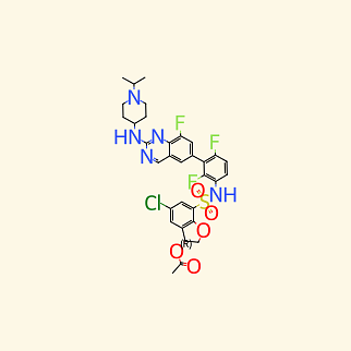 CC(=O)O[C@H]1COc2c1cc(Cl)cc2S(=O)(=O)Nc1ccc(F)c(-c2cc(F)c3nc(NC4CCN(C(C)C)CC4)ncc3c2)c1F